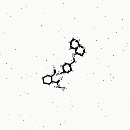 O=C(NO)C1CCCCC1C(=O)Nc1ccc(COc2ccnc3ccccc23)cc1